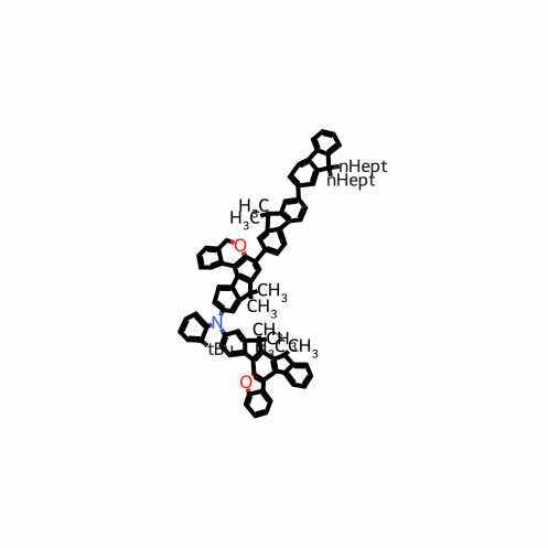 CCCCCCCC1(CCCCCCC)c2ccccc2-c2ccc(-c3ccc4c(c3)C(C)(C)c3cc(-c5cc6c(c7c5OCc5ccccc5-7)-c5ccc(N(c7ccc8c(c7)C(C)(C)c7c9c(c%10c(oc%11ccccc%11%10)c7-8)-c7ccccc7C9(C)C)c7ccccc7C(C)(C)C)cc5C6(C)C)ccc3-4)cc21